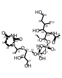 COC(OP(=O)(O)OP(=O)(O)OC[C@@H](OC(C)n1ccc(=O)[nH]c1=O)[C@H](O)CO)C(NC(C)=O)C(O)C(F)CCO